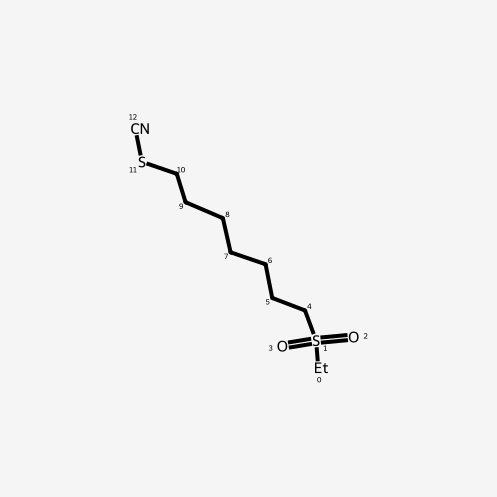 CCS(=O)(=O)CCCCCCCSC#N